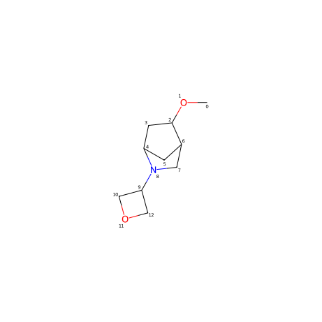 COC1CC2CC1CN2C1COC1